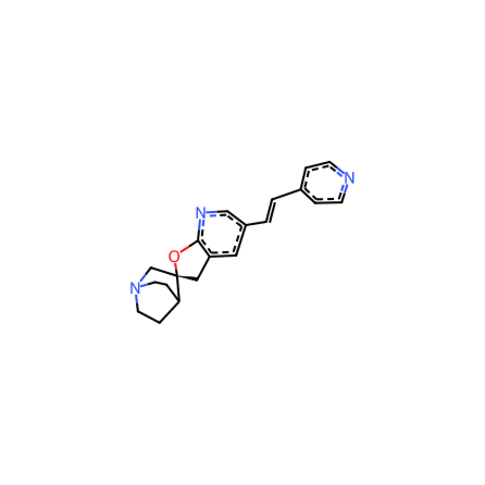 C(=C\c1cnc2c(c1)C[C@@]1(CN3CCC1CC3)O2)/c1ccncc1